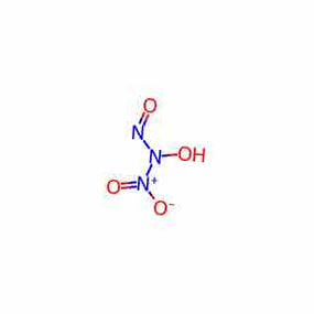 O=NN(O)[N+](=O)[O-]